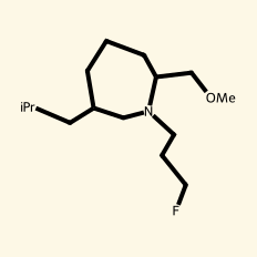 COCC1CCCC(CC(C)C)CN1CCCF